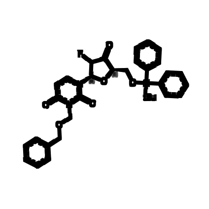 CC(C)(C)[Si](OC[C@H]1O[C@@H](n2ccc(=O)n(COCc3ccccc3)c2=O)C(F)C1=O)(c1ccccc1)c1ccccc1